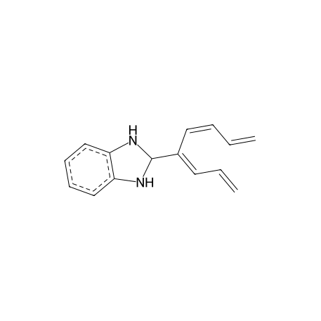 C=C/C=C\C(=C/C=C)C1Nc2ccccc2N1